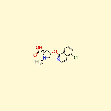 CN1CC(Oc2nccc3c(Cl)cccc23)C[C@H]1C(=O)O